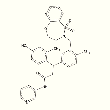 Cc1ccc(C(CC(=O)Nc2cccnc2)c2ccc(C#N)cc2C)cc1CN1CCOc2ncccc2S1(=O)=O